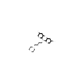 Brc1cnc2c(c1)Oc1cc(Br)cnc1N2CCCCN1CCOCC1